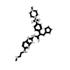 COCCNc1ccc2nc(NC(=O)C(CC3CCCC3)c3ccc(S(=O)(=O)N4CCN(C)CC4)cc3)sc2n1